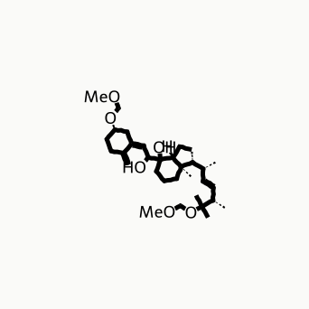 C=C1CC[C@H](OCOC)C/C1=C/C(O)C1(O)CCC[C@]2(C)[C@@H]([C@H](C)/C=C/[C@H](C)C(C)(C)OCOC)CC[C@@H]12